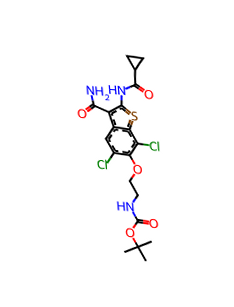 CC(C)(C)OC(=O)NCCOc1c(Cl)cc2c(C(N)=O)c(NC(=O)C3CC3)sc2c1Cl